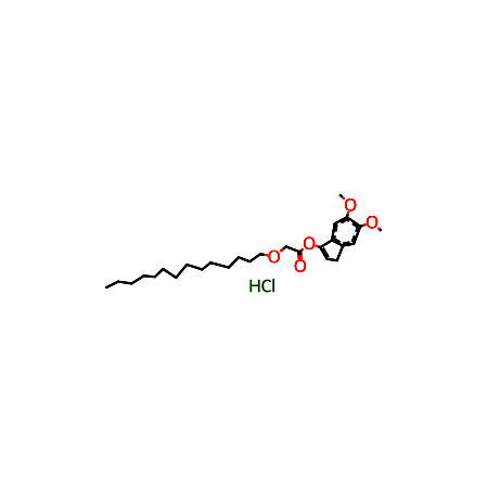 CCCCCCCCCCCCCCOCC(=O)OC1=CCc2cc(OC)c(OC)cc21.Cl